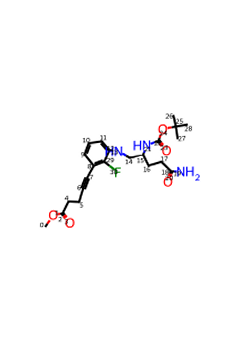 COC(=O)CCC#Cc1cccc(NC[C@H](CCC(N)=O)NC(=O)OC(C)(C)C)c1F